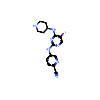 N#Cc1ccc(Nc2ncc(Br)c(NC3CCNCC3)n2)cn1